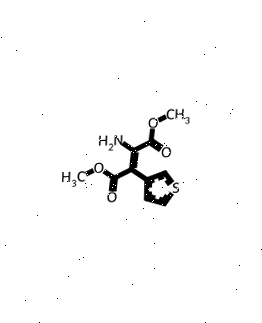 COC(=O)/C(N)=C(/C(=O)OC)c1ccsc1